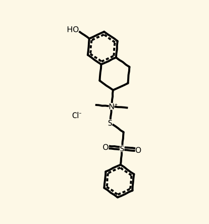 C[N+](C)(SCS(=O)(=O)c1ccccc1)C1CCc2ccc(O)cc2C1.[Cl-]